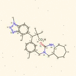 Cc1ccc(C(c2ccc3c(nnn3C)c2C)C(C)(C)C(=O)O)cc1CN(CC1CCCCCC1)C(N)=O